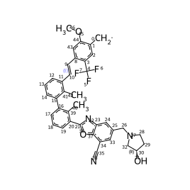 [CH2]c1cc(C(F)(F)F)c(/C=C/c2cccc(-c3cccc(-c4nc5cc(CN6CC[C@@H](O)C6)cc(C#N)c5o4)c3C)c2C)cc1OC